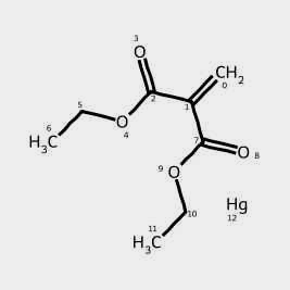 C=C(C(=O)OCC)C(=O)OCC.[Hg]